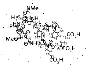 CNC(=O)C[C@H](NC(=O)c1csc(-c2ccc(-c3nc(N(CCCCC(=O)O)C(=O)OCCC(CCCCC(=O)O)C(=O)O)cs3)nc2-c2csc(-c3csc(CCc4ccccc4)n3)n2)n1)c1nc(C(=O)NC(c2nc(C(=O)NCC(N)=O)c(COC)s2)C(C)C)c(C)s1